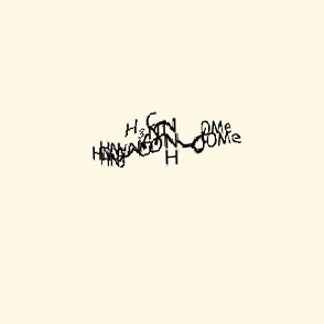 COc1ccc(CCNc2ncc(C)n(CC(=O)NCC3CNC(=N)NO3)c2=O)cc1OC